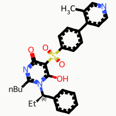 CCCCc1nc(=O)c(S(=O)(=O)c2ccc(-c3ccncc3C)cc2)c(O)n1[C@H](CC)c1ccccc1